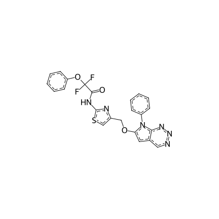 O=C(Nc1nc(COc2cc3cnnnc3n2-c2ccccc2)cs1)C(F)(F)Oc1ccccc1